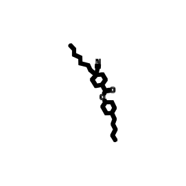 CCCCCCCC1(C#N)CCC(C(=O)OC2CCC(CCCCC)CC2)CC1